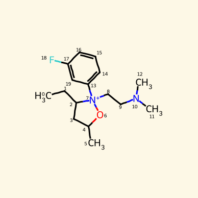 CCC1CC(C)O[N+]1(CCN(C)C)c1cccc(F)c1